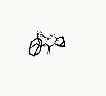 N#C[C@@H]1CC2CC2N1C(=O)[C@@H](NCl)C12CC3CC(CC(O)(C3)C1)C2